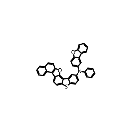 c1ccc(N(c2ccc3oc4ccccc4c3c2)c2ccc3sc4ccc5c(oc6ccc7ccccc7c65)c4c3c2)cc1